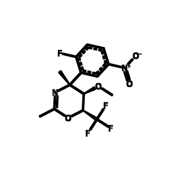 CO[C@H]1[C@@H](C(F)(F)F)OC(C)=N[C@]1(C)c1cc([N+](=O)[O-])ccc1F